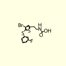 O=C(O)NCCc1cc(Br)c(Sc2cccc(F)c2)s1